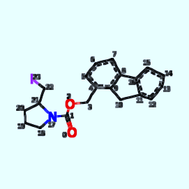 O=C(OCc1cccc2c1Cc1ccccc1-2)N1CCCC1CI